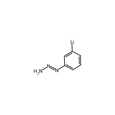 [Li][c]1cccc(N=NN)c1